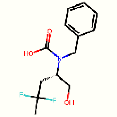 CC(F)(F)C[C@@H](CO)N(Cc1ccccc1)C(=O)O